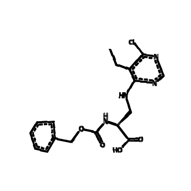 CCc1c(Cl)ncnc1NC[C@H](NC(=O)OCc1ccccc1)C(=O)O